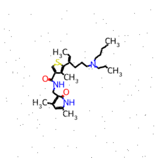 C/C=C(/CCCN(CCC)CCCCC)c1scc(C(=O)NCc2c(C)cc(C)[nH]c2=O)c1C